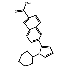 COC(=O)c1ccc2nc(-c3ccnn3C3CCCCO3)ccc2c1